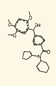 COc1cc(OC)c(C(O)c2ccc(C(=O)N(C3CCCCC3)C3CCCC3)cc2)cc1OC